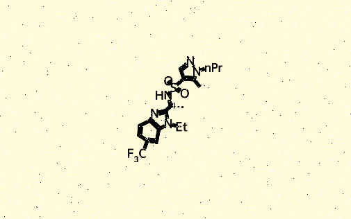 CCCn1ncc(S(=O)(=O)N[C@H](C)c2nc3ccc(C(F)(F)F)cc3n2CC)c1C